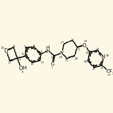 O=C(Nc1ccc(C2(O)COC2)cc1)N1CCC(Oc2ccc(C(F)(F)F)nc2)CC1